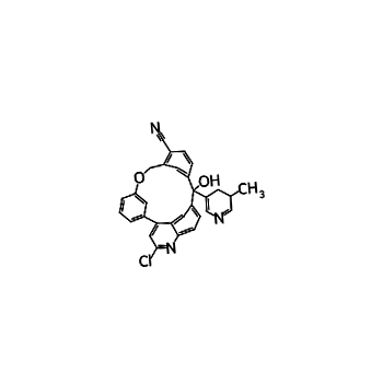 CC1C=NC=C(C2(O)c3ccc(C#N)c(c3)COc3cccc(c3)-c3cc(Cl)nc4ccc2cc34)C1